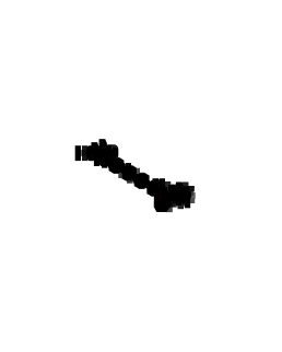 CCC(C(C)O)n1ncn(-c2ccc(N3CCN(c4ccc(-c5ccc(C(F)(F)C(O)(Cn6cnc(C(F)(F)F)n6)c6ccccc6F)nc5)cc4)CC3)cc2)c1=O